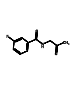 CC(=O)CNC(=O)c1cccc(F)c1